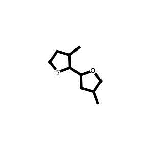 CC1COC(C2SCCC2C)C1